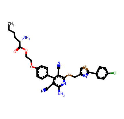 CCCC[C@H](N)C(=O)OCCOc1ccc(-c2c(C#N)c(N)nc(SCc3csc(-c4ccc(Cl)cc4)n3)c2C#N)cc1